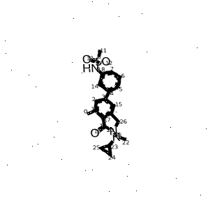 Cc1cc(-c2cccc(NS(C)(=O)=O)c2)cc2c1C(=O)N(N(C)C1CC1)C2